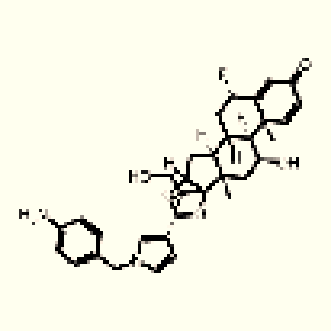 C[C@]12C=CC(=O)C=C1[C@@H](F)C[C@H]1[C@@H]3C[C@H]4O[C@@H](c5ccn(Cc6ccc(N)cc6)c5)O[C@@]4(C(=O)CO)[C@@]3(C)C[C@H](O)[C@@]12F